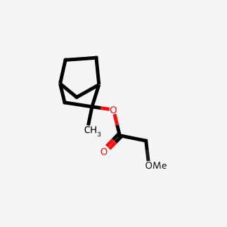 COCC(=O)OC1(C)CC2CCC1C2